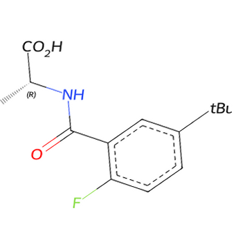 CC(C)[C@@H](NC(=O)c1cc(C(C)(C)C)ccc1F)C(=O)O